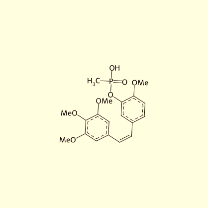 COc1ccc(/C=C\c2cc(OC)c(OC)c(OC)c2)cc1OP(C)(=O)O